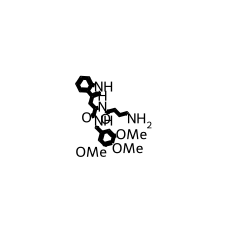 COc1cc(CNC(=O)C(Cc2c[nH]c3ccccc23)NC(=O)CCCN)cc(OC)c1OC